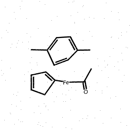 C[C](=O)[Fe][C]1=CC=CC1.Cc1ccc(C)cc1